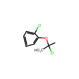 CC(Cl)(Oc1ccccc1Cl)C(=O)O